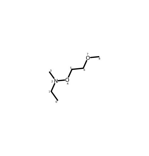 CCN(C)OCCOC